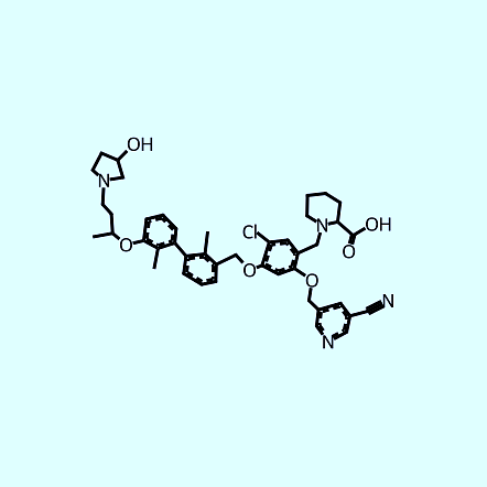 Cc1c(COc2cc(OCc3cncc(C#N)c3)c(CN3CCCCC3C(=O)O)cc2Cl)cccc1-c1cccc(OC(C)CCN2CCC(O)C2)c1C